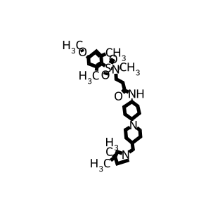 COC1C=C(C)C(S(=O)(=O)N(C)CCC(=O)N[C@H]2CC[C@H](N3CCC(CN4CCC(C)(C)C4)CC3)CC2)=C(C)C1